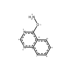 NOc1ncnc2ccccc12